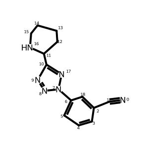 N#Cc1cccc(-n2nnc(C3CCCCN3)n2)c1